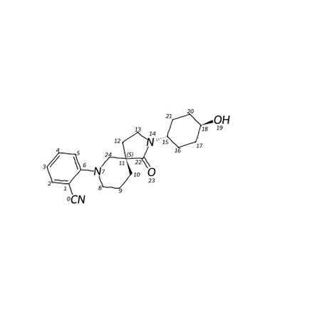 N#Cc1ccccc1N1CCC[C@]2(CCN([C@H]3CC[C@H](O)CC3)C2=O)C1